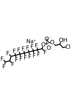 O=P([O-])(OCC(O)CCl)OC(F)C(F)(F)C(F)(F)C(F)(F)C(F)(F)C(F)(F)C(F)(F)C(F)C(F)C(F)F.[Na+]